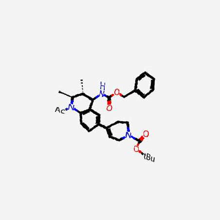 CC(=O)N1c2ccc(C3=CCN(C(=O)OC(C)(C)C)CC3)cc2C(NC(=O)OCc2ccccc2)[C@@H](C)[C@@H]1C